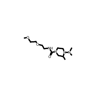 COCCOCCNC(=O)N1CCN(N(C)C)C(C)C1